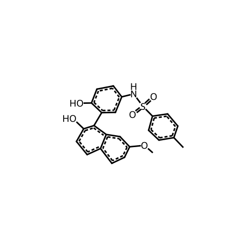 COc1ccc2ccc(O)c(-c3cc(NS(=O)(=O)c4ccc(C)cc4)ccc3O)c2c1